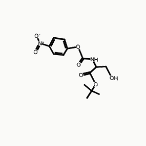 CC(C)(C)OC(=O)C(CO)NC(=O)Oc1ccc([N+](=O)[O-])cc1